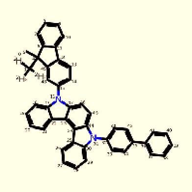 [2H]C([2H])([2H])C1(C)c2ccccc2-c2ccc(-n3c4ccccc4c4c5c6ccccc6n(-c6ccc(-c7ccccc7)cc6)c5ccc43)cc21